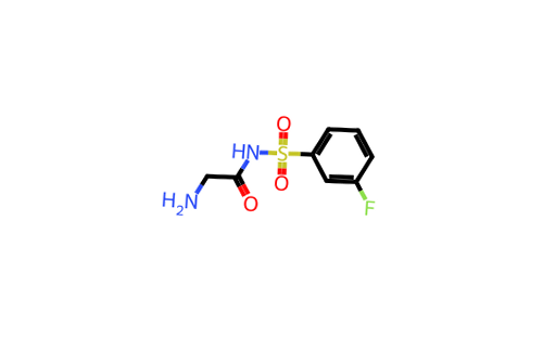 NCC(=O)NS(=O)(=O)c1cccc(F)c1